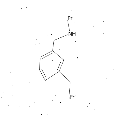 CC(C)Cc1cccc(CNC(C)C)c1